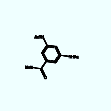 CNC(=O)c1cc(NC(C)=O)cc(NC(C)=O)c1